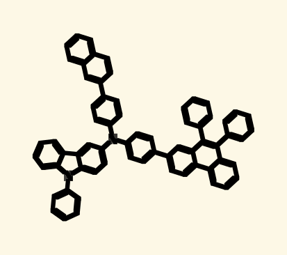 c1ccc(-c2c(-c3ccccc3)c3cc(-c4ccc(N(c5ccc(-c6ccc7ccccc7c6)cc5)c5ccc6c(c5)c5ccccc5n6-c5ccccc5)cc4)ccc3c3ccccc23)cc1